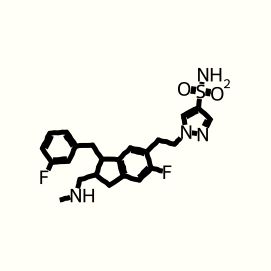 CNCC1Cc2cc(F)c(CCn3cc(S(N)(=O)=O)cn3)cc2C1Cc1cccc(F)c1